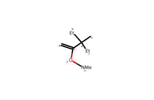 C=C(ONC)C(C)(CC)CC